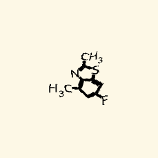 Cc1nc2c(C)cc(F)cc2s1